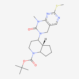 CSc1ncc2c(n1)N(C)C(=O)N(C1CCN(C(=O)OC(C)(C)C)C3CCC[C@H]31)C2